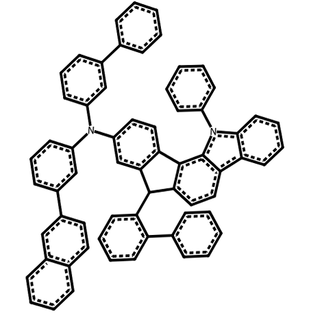 c1ccc(-c2cccc(N(c3cccc(-c4ccc5ccccc5c4)c3)c3ccc4c(c3)C(c3ccccc3-c3ccccc3)c3ccc5c6ccccc6n(-c6ccccc6)c5c3-4)c2)cc1